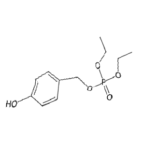 CCOP(=O)(OCC)OCc1ccc(O)cc1